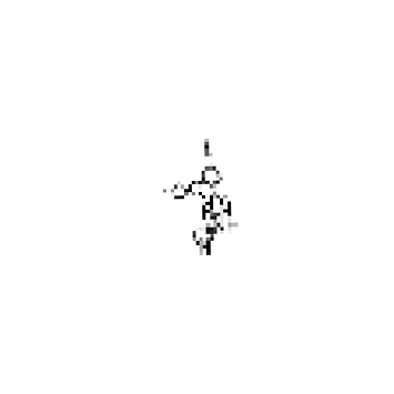 CC#Cc1ccc(-c2nnc(N[C@@H]3CCCN(C)C3)nc2C)c(OCOCC)c1